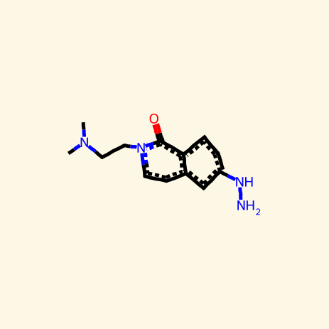 CN(C)CCn1ccc2cc(NN)ccc2c1=O